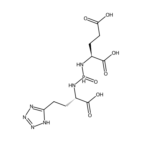 O=C(O)CC[C@H](N[PH](=O)N[C@@H](CCc1nnn[nH]1)C(=O)O)C(=O)O